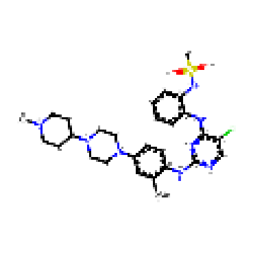 COc1cc(N2CCN(C3CCN(C(C)=O)CC3)CC2)ccc1Nc1ncc(Cl)c(Nc2ccccc2NS(C)(=O)=O)n1